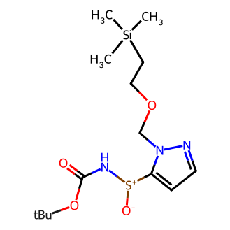 CC(C)(C)OC(=O)N[S+]([O-])c1ccnn1COCC[Si](C)(C)C